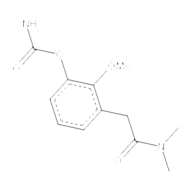 COc1c(CC(=O)N(C)C)cccc1OC(N)=O